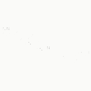 O=C(O)c1cccc(OCC2CCN(c3ccc(NC(=O)c4ccc(-c5csnn5)cc4)cn3)CC2)c1